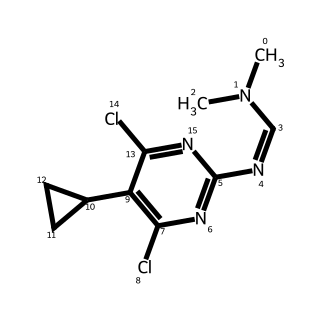 CN(C)/C=N\c1nc(Cl)c(C2CC2)c(Cl)n1